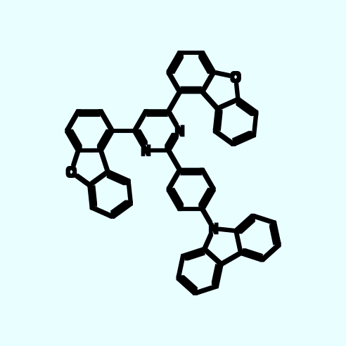 c1ccc2c(c1)oc1cccc(-c3cc(-c4cccc5oc6ccccc6c45)nc(-c4ccc(-n5c6ccccc6c6ccccc65)cc4)n3)c12